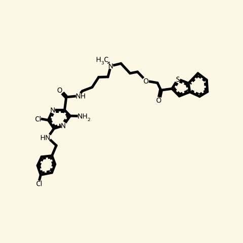 CN(CCCCNC(=O)c1nc(Cl)c(NCc2ccc(Cl)cc2)nc1N)CCCOCC(=O)c1cc2ccccc2s1